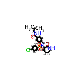 CC(C)CNC(=O)c1ccc(CN([C@@H]2CCCCNC2=O)S(=O)(=O)c2ccc(Cl)cc2)cc1